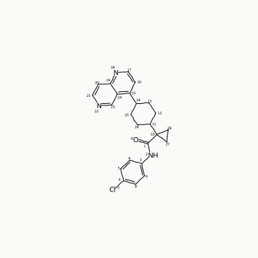 O=C(Nc1ccc(Cl)cc1)C1(C2CCC(c3ccnc4ccncc34)CC2)CC1